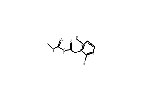 CNC(=N)NC(=O)Cc1c(Cl)cccc1Cl